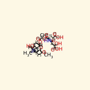 COc1ccc2c3c1O[C@H]1C(OC(=O)[C@H](C)OC(=O)[C@H](CCC(=O)O)NC(=O)C[C@H](O)C(=O)O)=CC[C@@]4(O)[C@@H](C2)N(C)CC[C@]314